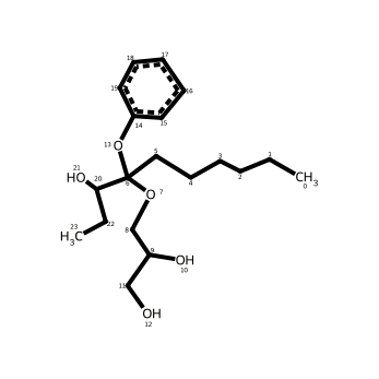 CCCCCCC(OCC(O)CO)(Oc1ccccc1)C(O)CC